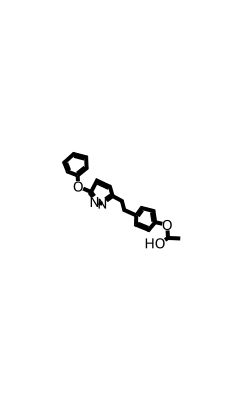 CC(O)Oc1ccc(CCc2ccc(Oc3ccccc3)nn2)cc1